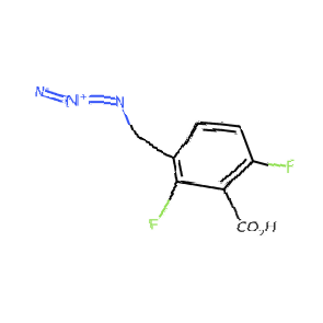 [N-]=[N+]=NCc1ccc(F)c(C(=O)O)c1F